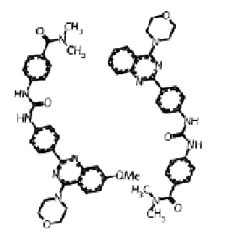 CN(C)C(=O)c1ccc(NC(=O)Nc2ccc(-c3nc(N4CCOCC4)c4ccccc4n3)cc2)cc1.COc1ccc2c(N3CCOCC3)nc(-c3ccc(NC(=O)Nc4ccc(C(=O)N(C)C)cc4)cc3)nc2c1